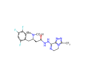 CC(C)(C)N(C(=O)O)[C@@H](CC(=O)NNC1=NCCn2c1nnc2C(F)(F)F)Cc1cc(F)c(F)cc1F